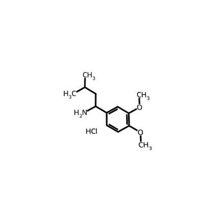 COc1ccc(C(N)CC(C)C)cc1OC.Cl